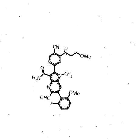 COCCNc1cc(-c2c(C(N)=O)c3nc(C=O)c(-c4c(F)cccc4OC)cc3n2C)ncc1C#N